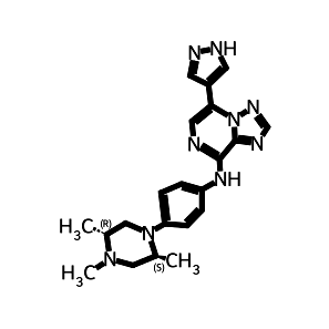 C[C@@H]1CN(c2ccc(Nc3ncc(-c4cn[nH]c4)n4ncnc34)cc2)[C@@H](C)CN1C